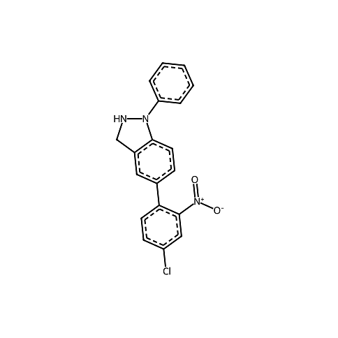 O=[N+]([O-])c1cc(Cl)ccc1-c1ccc2c(c1)CNN2c1ccccc1